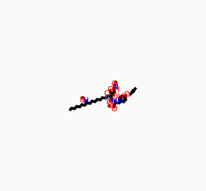 CC#CCOc1ccc(C[C@H](NC(=O)[C@@H](/C=C/CCCCCCC(CCCCCCC)=NOC)[C@@](O)(CC=NOC)C(=O)O)C(=O)OC)cc1